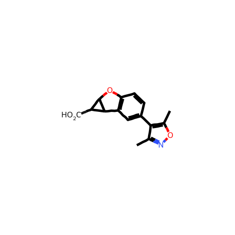 Cc1noc(C)c1-c1ccc2c(c1)C1C(O2)C1C(=O)O